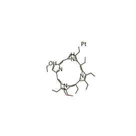 CCC1=C(CC)c2nc1c(CC)c1[nH]c(cc3nc(cc4c(CC)c(CC)c(c2CC)n4CC)C=C3)cc1CC.CCO.[Pt]